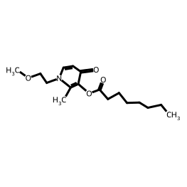 CCCCCCCC(=O)Oc1c(C)n(CCOC)ccc1=O